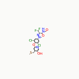 CSCc1cc(Oc2c(Cl)cc(N(C)/N=C(\C(=O)NC=O)C(F)F)cc2Cl)ncc1O